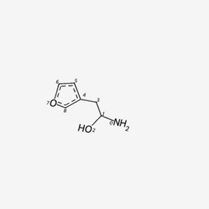 NC(O)Cc1ccoc1